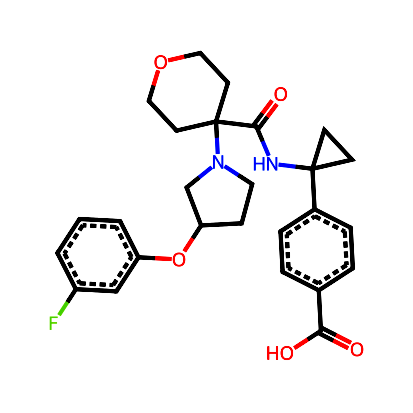 O=C(O)c1ccc(C2(NC(=O)C3(N4CCC(Oc5cccc(F)c5)C4)CCOCC3)CC2)cc1